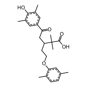 Cc1ccc(C)c(OCCC(CC(=O)c2cc(C)c(O)c(C)c2)C(C)(C)C(=O)O)c1